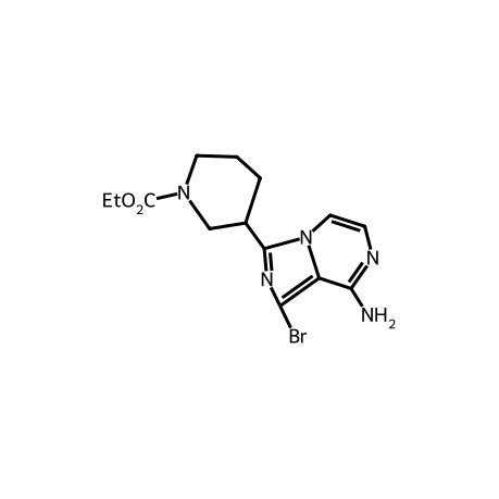 CCOC(=O)N1CCCC(c2nc(Br)c3c(N)nccn23)C1